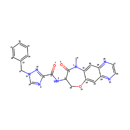 CN1C(=O)C(NC(=O)c2ncn(Cc3ccccc3)n2)COc2cc3nccnc3cc21